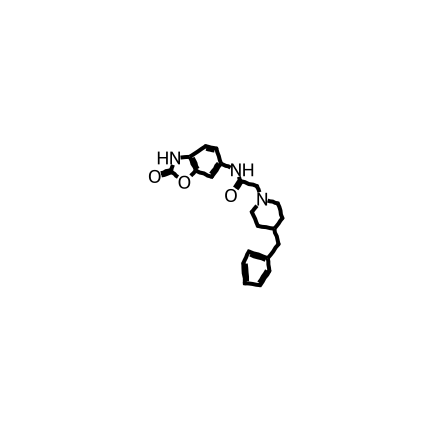 O=C(CN1CCC(Cc2ccccc2)CC1)Nc1ccc2[nH]c(=O)oc2c1